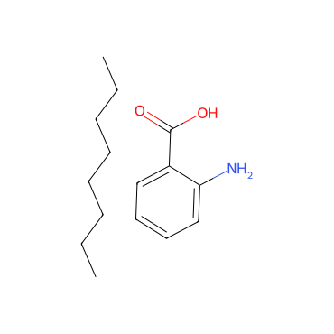 CCCCCCCC.Nc1ccccc1C(=O)O